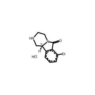 CCc1cccc2c1C(=O)N1CCNC[C@@H]21.Cl